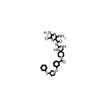 Nc1nc(N)c(C(=O)/N=C2\NCC3(CCN(C(=O)c4cccc(SN5CCC(Sc6ccccc6)C5)c4)CC3)N2)nc1Cl